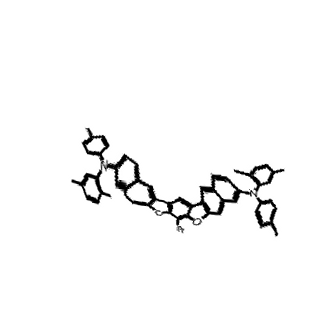 Cc1ccc(N(c2ccc3cc4c(cc3c2)oc2c(C(C)C)c3oc5cc6cc(N(c7ccc(C)cc7)c7cc(C)ccc7C)ccc6cc5c3cc24)c2cc(C)ccc2C)cc1